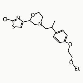 CCOCCOc1ccc(C(C)CN2CCOC(c3csc(Cl)n3)C2)cc1